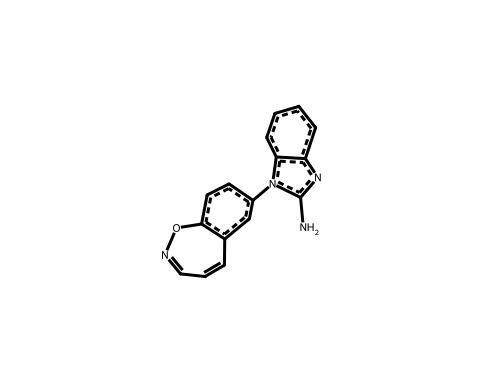 Nc1nc2ccccc2n1-c1ccc2c(c1)C=CC=NO2